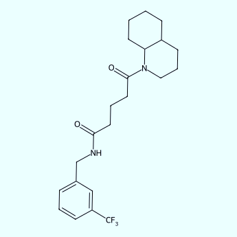 O=C(CCCC(=O)N1CCCC2CCCCC21)NCc1cccc(C(F)(F)F)c1